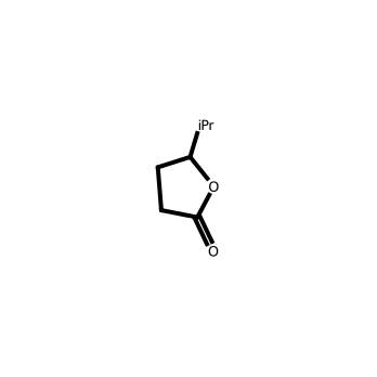 CC(C)C1CCC(=O)O1